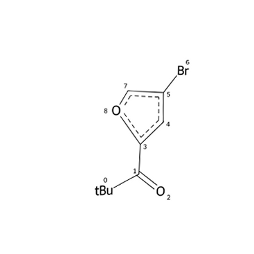 CC(C)(C)C(=O)c1cc(Br)co1